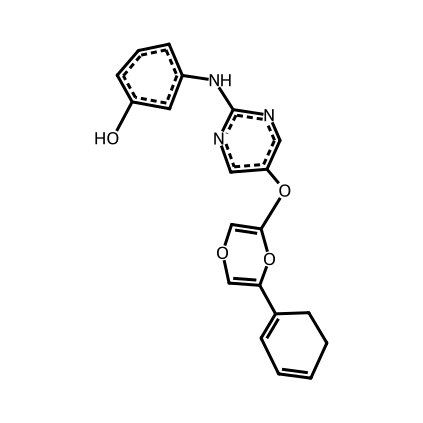 Oc1cccc(Nc2ncc(OC3=COC=C(C4=CC=CCC4)O3)cn2)c1